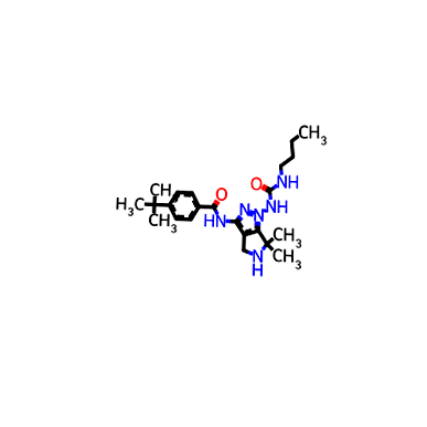 CCCCNC(=O)Nn1nc(NC(=O)c2ccc(C(C)(C)C)cc2)c2c1C(C)(C)NC2